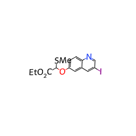 CCOC(=O)C(Oc1ccc2ncc(I)cc2c1)SC